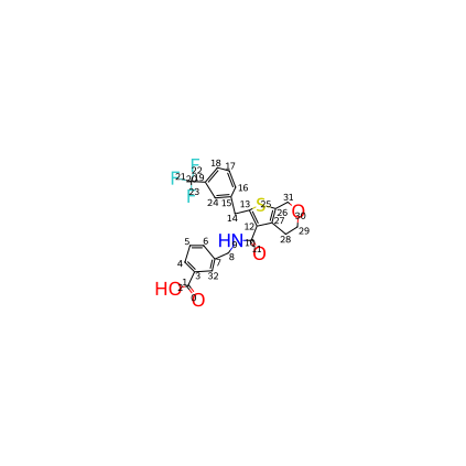 O=C(O)c1cccc(CNC(=O)c2c(Cc3cccc(C(F)(F)F)c3)sc3c2CCOC3)c1